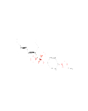 CCO[C@H]1CC[C@@H](OS(=O)(=O)/C(=C/C=C(C)C)CC)CC1